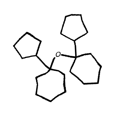 C1CCC(OC2(C3CCCC3)CCCCC2)(C2CCCC2)CC1